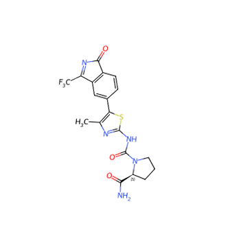 Cc1nc(NC(=O)N2CCC[C@H]2C(N)=O)sc1-c1ccc2c(c1)C(C(F)(F)F)=NC2=O